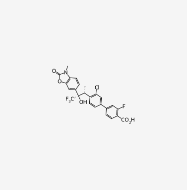 C[C@H](c1ccc(-c2ccc(C(=O)O)c(F)c2)cc1Cl)[C@@](O)(c1ccc2c(c1)oc(=O)n2C)C(F)(F)F